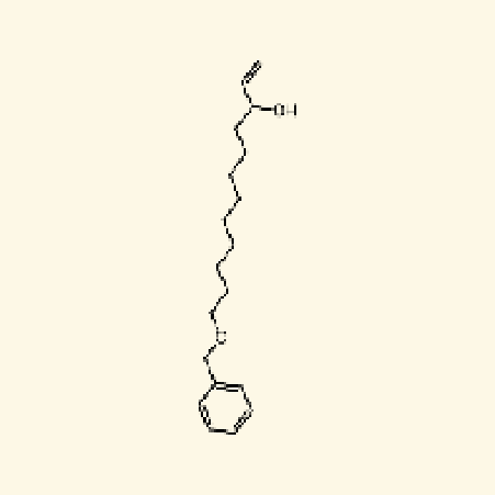 C=CC(O)CCCCCCCCCOCc1ccccc1